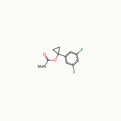 CNC(=O)OC1(c2cc(F)cc(F)c2)CC1